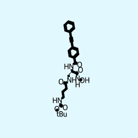 CC(C)(C)OC(=O)NCCCC(=O)NC[C@H](NC(=O)c1ccc(C#Cc2ccccc2)cc1)C(=O)NO